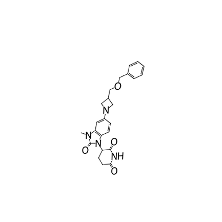 Cn1c(=O)n(C2CCC(=O)NC2=O)c2ccc(N3CC(COCc4ccccc4)C3)cc21